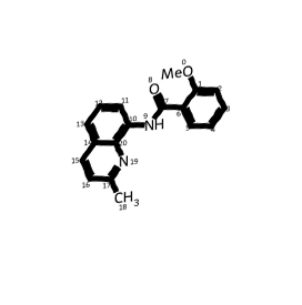 COc1ccccc1C(=O)Nc1cccc2ccc(C)nc12